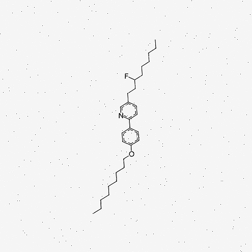 CCCCCCCCCOc1ccc(-c2ccc(CCC(F)CCCCCC)cn2)cc1